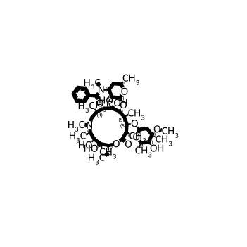 CC[C@H]1OC(=O)[C@H](C)[C@@H](O[C@H]2C[C@@](C)(OC)[C@@H](O)[C@H](C)O2)[C@H](C)[C@@H](O[C@@H]2O[C@H](C)C[C@H](N(C)C(=O)c3ccccc3)[C@H]2O)[C@](C)(O)C[C@@H](C)CN(C)[C@H](C)[C@@H](O)[C@]1(C)O